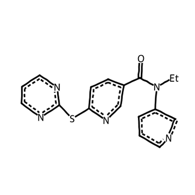 CCN(C(=O)c1ccc(Sc2ncccn2)nc1)c1cccnc1